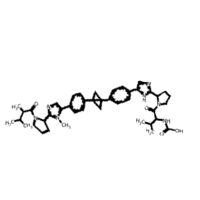 CC(C)C(C)C(=O)N1CCCC1c1ncc(-c2ccc(C34CC3(c3ccc(-c5cnc(C6CCCN6C(=O)C(NC(=O)O)C(C)C)[nH]5)cc3)C4)cc2)n1C